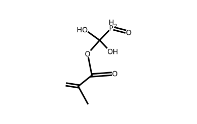 C=C(C)C(=O)OC(O)(O)[PH2]=O